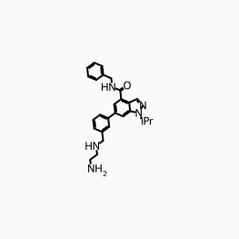 CC(C)n1ncc2c(C(=O)NCc3ccccc3)cc(-c3cccc(CNCCN)c3)cc21